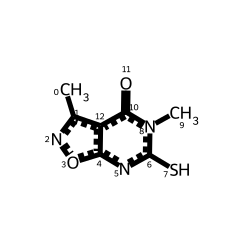 Cc1noc2nc(S)n(C)c(=O)c12